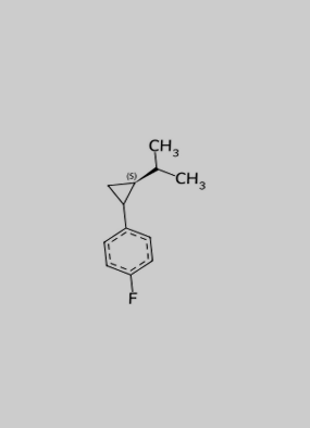 CC(C)[C@@H]1CC1c1ccc(F)cc1